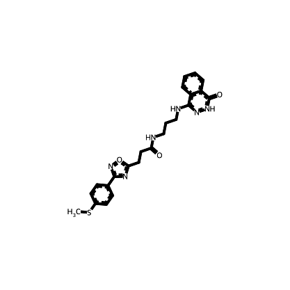 CSc1ccc(-c2noc(CCC(=O)NCCCNc3n[nH]c(=O)c4ccccc34)n2)cc1